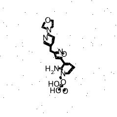 NC1C(c2cc(Cc3ccc(N4CCOCC4)nc3)no2)=CC=CN1COP(=O)(O)O